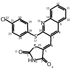 O=C1NC(=O)C(=Cc2cc3ccccc3nc2Sc2ccc(Cl)cc2)S1